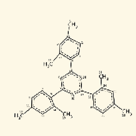 Cc1ccc(-c2cc(-c3ccc(C)cc3C)nc(-c3ccc(C)cc3C)n2)c(C)c1